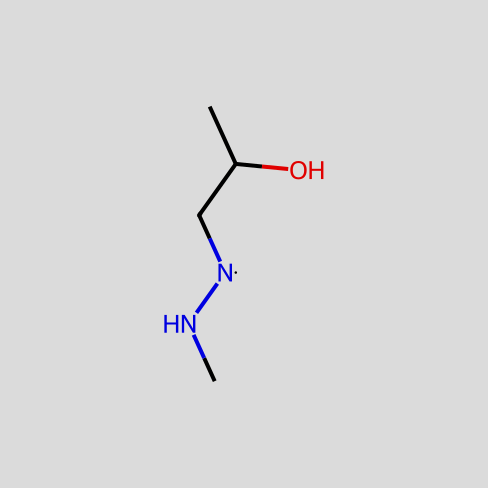 CN[N]CC(C)O